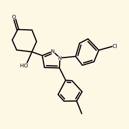 Cc1ccc(-c2cc(C3(O)CCC(=O)CC3)nn2-c2ccc(Cl)cc2)cc1